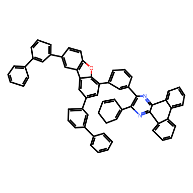 C1=CC(c2nc3c4ccccc4c4ccccc4c3nc2-c2cccc(-c3cc(-c4cccc(-c5ccccc5)c4)cc4c3oc3ccc(-c5cccc(-c6ccccc6)c5)cc34)c2)=CCC1